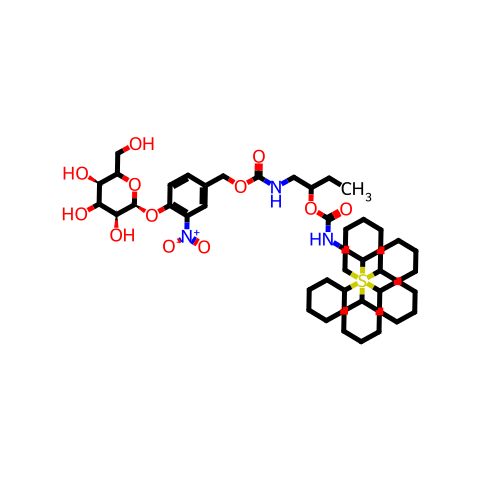 CCC(CNC(=O)OCc1ccc(O[C@@H]2OC(CO)[C@H](O)C(O)[C@@H]2O)c([N+](=O)[O-])c1)OC(=O)NCCS(C1CCCCC1)(C1CCCCC1)(C1CCCCC1)(C1CCCCC1)C1CCCCC1